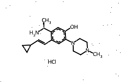 C[C@H](N)c1cc(O)c(N2CCN(C)CC2)cc1/C=C/C1CC1.Cl